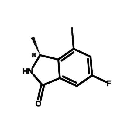 C[C@H]1NC(=O)c2cc(F)cc(I)c21